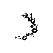 Cn1cc(-c2cc3cc(C(=O)Nc4cc(C(=O)NCCN5CC[C@H](CO)C5)ccc4F)cnc3[nH]2)cn1